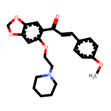 COc1ccc(C=CC(=O)c2cc3c(cc2OCCN2CCCCC2)OCO3)cc1